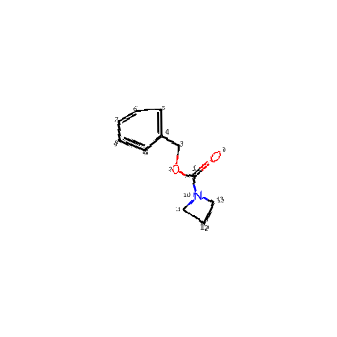 O=C(OCc1ccccc1)N1CCC1